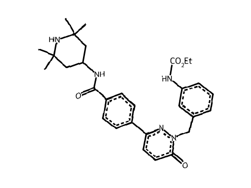 CCOC(=O)Nc1cccc(Cn2nc(-c3ccc(C(=O)NC4CC(C)(C)NC(C)(C)C4)cc3)ccc2=O)c1